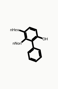 CCCCCCCCCc1c(CCCCCC)ccc(O)c1-c1ccccc1